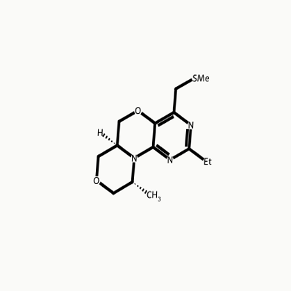 CCc1nc(CSC)c2c(n1)N1[C@@H](COC[C@H]1C)CO2